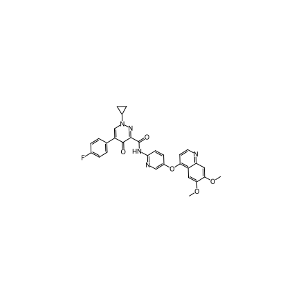 COc1cc2nccc(Oc3ccc(NC(=O)c4nn(C5CC5)cc(-c5ccc(F)cc5)c4=O)nc3)c2cc1OC